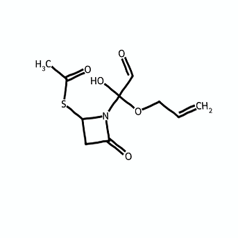 C=CCOC(O)(C=O)N1C(=O)CC1SC(C)=O